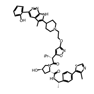 Cc1ncsc1-c1ccc([C@H](C)NC(=O)[C@@H]2C[C@@H](O)CN2C(=O)[C@@H](c2cc(OCCN3CCC(c4[nH]c5nnc(-c6ccccc6O)cc5c4C)CC3)no2)C(C)C)cc1